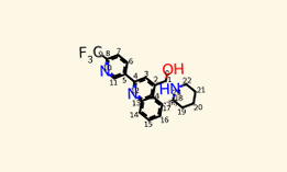 OCc1cc(-c2ccc(C(F)(F)F)nc2)nc2cccc([C@H]3CCCCN3)c12